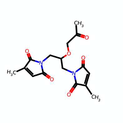 CC(=O)COC(CN1C(=O)C=C(C)C1=O)CN1C(=O)C=C(C)C1=O